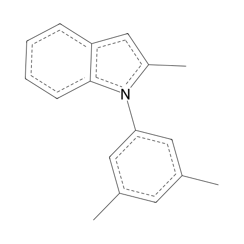 Cc1cc(C)cc(-n2c(C)cc3ccccc32)c1